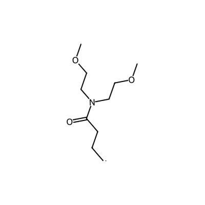 [CH2]CCC(=O)N(CCOC)CCOC